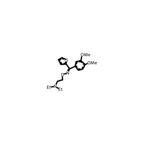 CCN(CC)CCON=C(c1ccc(OC)c(OC)c1)c1cccs1